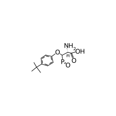 CC(C)(C)c1ccc(OC(P=O)[C@H](N)C(=O)O)cc1